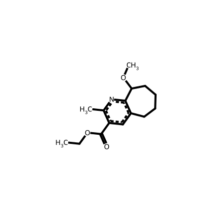 CCOC(=O)c1cc2c(nc1C)C(OC)CCCC2